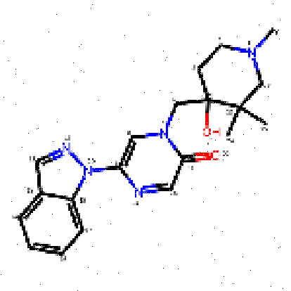 CN1CCC(O)(Cn2cc(-n3ncc4ccccc43)ncc2=O)C(C)(C)C1